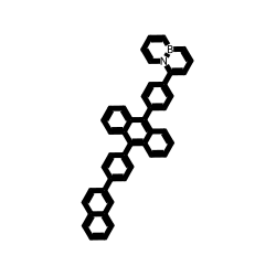 C1=CB2C=CC=C(c3ccc(-c4c5ccccc5c(-c5ccc(-c6ccc7ccccc7c6)cc5)c5ccccc45)cc3)N2C=C1